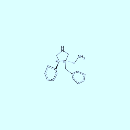 NC[C@@]1(Cc2ccccc2)CNC[C@@H]1c1ccccc1